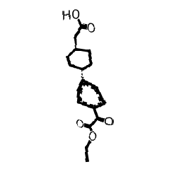 CCOC(=O)C(=O)c1ccc([C@H]2CC[C@H](CC(=O)O)CC2)cc1